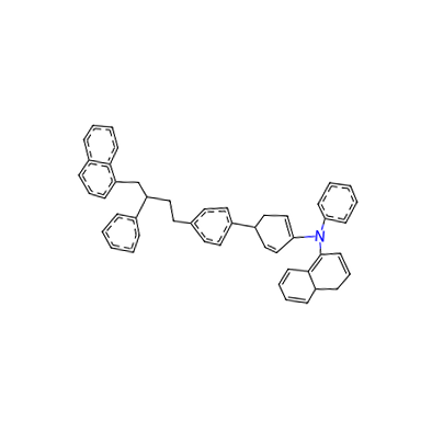 C1=CC2=C(N(C3=CCC(c4ccc(CCC(Cc5cccc6ccccc56)c5ccccc5)cc4)C=C3)c3ccccc3)C=CCC2C=C1